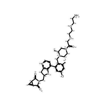 Cc1cc(Cl)cc(-c2ccnc3c2SC(CN2C(=O)C4=CC4C2=O)C3)c1CN1[C@@H](C)CN(C(=O)COCCOCCN)C[C@@H]1C